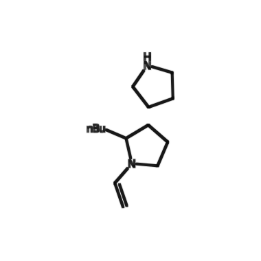 C1CCNC1.C=CN1CCCC1CCCC